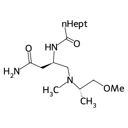 CCCCCCCC(=O)N[C@H](CC(N)=O)CN(C)[C@@H](C)COC